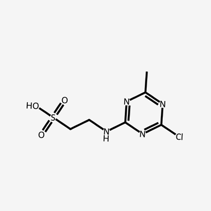 Cc1nc(Cl)nc(NCCS(=O)(=O)O)n1